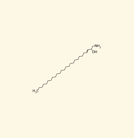 CCCCCCCCCCCCCCCCCCCCCCC=CC(O)CN